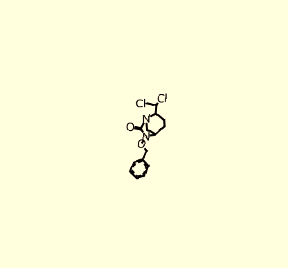 O=C1N2CC(CCC2C(Cl)Cl)N1OCc1ccccc1